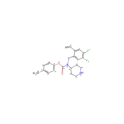 COc1cc(F)c(F)cc1CN(C(=O)Oc1ccc([N+](=O)[O-])cc1)C1CCNCC1